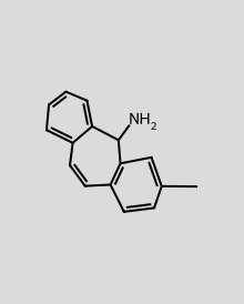 Cc1ccc2c(c1)C(N)c1ccccc1C=C2